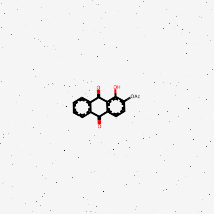 CC(=O)Oc1ccc2c(c1O)C(=O)c1ccccc1C2=O